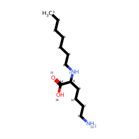 CCCCCCCNC(CCCCN)C(=O)O